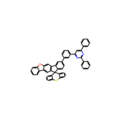 c1ccc(-c2cc(-c3cccc(-c4ccc5c(c4)-c4cc6oc7ccccc7c6cc4C54c5ccccc5Sc5ccccc54)c3)nc(-c3ccccc3)n2)cc1